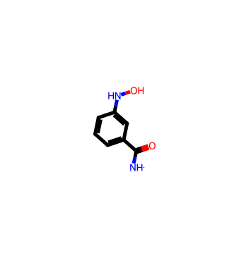 [NH]C(=O)c1cccc(NO)c1